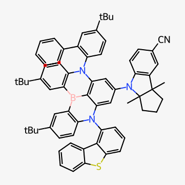 CC(C)(C)c1ccc2c(c1)B1c3cc(C(C)(C)C)ccc3N(c3cccc4sc5ccccc5c34)c3cc(N4c5ccc(C#N)cc5C5(C)CCCC45C)cc(c31)N2c1ccc(C(C)(C)C)cc1-c1ccccc1